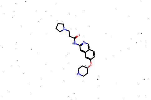 O=C(CCN1CCCC1)Nc1cc2cc(OC3CCNCC3)ccc2cn1